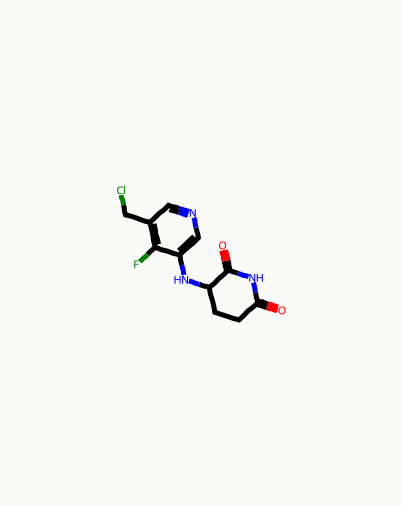 O=C1CCC(Nc2cncc(CCl)c2F)C(=O)N1